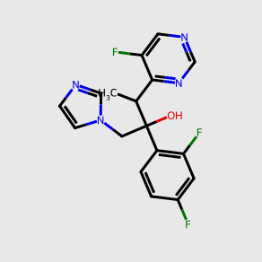 CC(c1ncncc1F)C(O)(Cn1ccnc1)c1ccc(F)cc1F